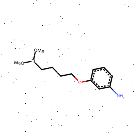 C[O][Ti]([CH2]CCCOc1cccc(N)c1)[O]C